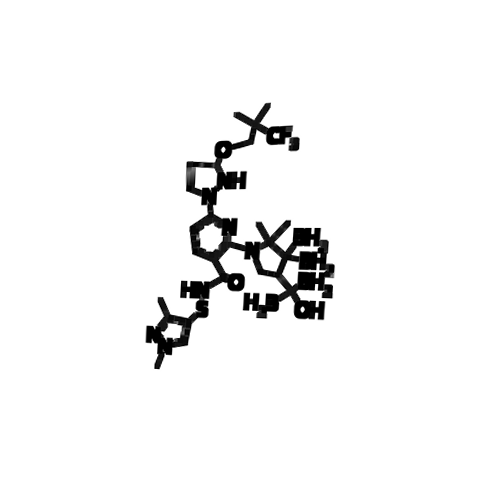 BC(B)(O)C1CN(c2nc(N3C=CC(OCC(C)(C)C(F)(F)F)N3)ccc2C(=O)NSc2cn(C)nc2C)C(C)(C)C1(B)B